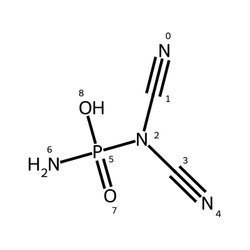 N#CN(C#N)P(N)(=O)O